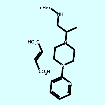 CCCCCCNCC(C)N1CCN(c2ccccn2)CC1.O=C(O)C=CC(=O)O